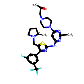 CC(=O)CN1CCN(c2cc(Nc3nc(-c4cc(F)cc(C(F)(F)F)c4)c(CN4CCC[C@H]4C)s3)nc(C)n2)CC1